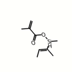 C=C(C)C(=O)O[SiH](C)C(C)=CC